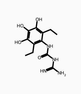 CCc1c(O)c(O)c(O)c(CC)c1NC(=O)NC(=N)N